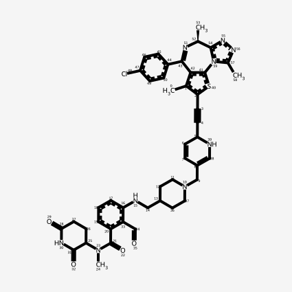 Cc1c(C#CC2C=CC(CN3CCC(CNc4cccc(C(=O)N(C)C5CCC(=O)NC5=O)c4C=O)CC3)=CN2)sc2c1C(c1ccc(Cl)cc1)=N[C@@H](C)c1nnc(C)n1-2